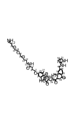 Cc1cc(OCCCC(=O)NCCCOCCOCCOCCCN)cc(C)c1S(=O)(=O)NC(CNC(=O)C1CC(=O)c2ccc(CNc3ncc[nH]3)cc2N1C)C(=O)O